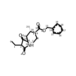 CCC1C(=O)N[C@@]2(CCN(C(=O)OCc3ccccc3)[C@@H](C)C2)C1=O